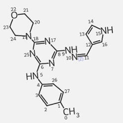 Cc1ccc(Nc2nc(N/N=C\c3cc[nH]c3)nc(N3CCOCC3)n2)cc1